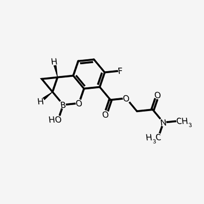 CN(C)C(=O)COC(=O)c1c(F)ccc2c1OB(O)[C@@H]1C[C@H]21